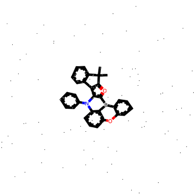 CC1(C)c2ccccc2-c2c1oc1c2N(c2ccccc2)c2cccc3c2B1c1ccccc1O3